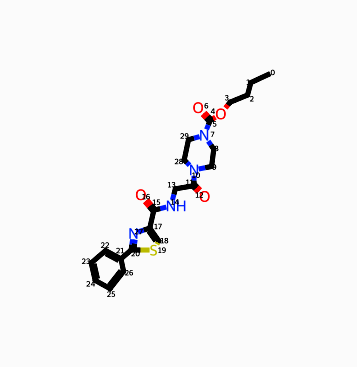 CCCCOC(=O)N1CCN(C(=O)CNC(=O)c2csc(-c3ccccc3)n2)CC1